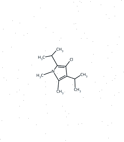 Cc1c(C(C)C)c(Cl)c(C(C)C)n1C